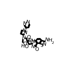 CC1([C@@H](O)c2nc(=O)c3c(ccc4c(N)nsc43)[nH]2)OCCN(c2ccn(-c3ccnnc3)n2)C1=O